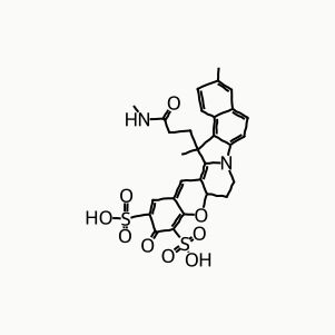 CNC(=O)CCC1(C)C2=C3C=C4C=C(S(=O)(=O)O)C(=O)C(S(=O)(=O)O)=C4OC3CCN2c2ccc3cc(C)ccc3c21